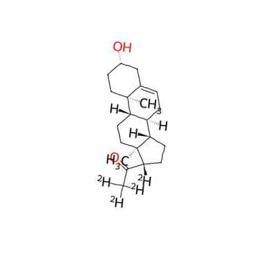 [2H]C([2H])([2H])C(=O)[C@@]1([2H])CC[C@H]2[C@@H]3CC=C4C[C@@H](O)CC[C@]4(C)[C@H]3CC[C@@]21C